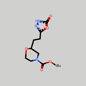 CC(C)(C)OC(=O)N1CCOC(CCc2n[nH]c(=O)o2)C1